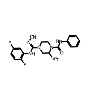 CCCC1CN(/C(=N\C#N)Nc2cc(F)ccc2F)CCN1C(=O)Nc1ccccc1